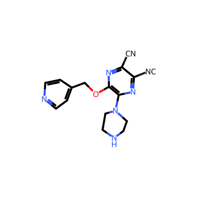 [C-]#[N+]c1nc(N2CCNCC2)c(OCc2ccncc2)nc1C#N